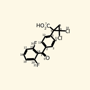 O=C(c1ccc(C2(C(=O)O)CC2(Cl)Cl)cc1)c1c(F)cccc1F